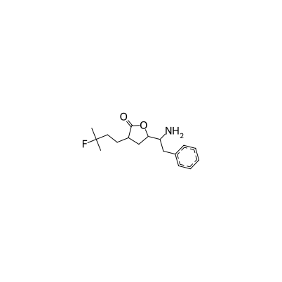 CC(C)(F)CCC1CC(C(N)Cc2ccccc2)OC1=O